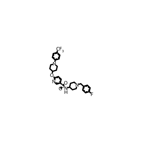 O=S(=O)(NC1CCN(Cc2ccc(F)cc2)CC1)c1ccc(OC2CCN(c3ccc(C(F)(F)F)cc3)CC2)nc1